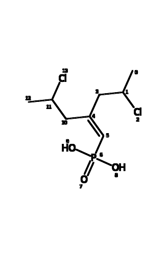 CC(Cl)CC(=CP(=O)(O)O)CC(C)Cl